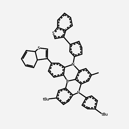 Cc1cc2c3c(c1)N(c1cccc(-c4csc5ccccc45)c1)c1cc(C4=CSC5C=CC=CC45)ccc1B3c1cc(C(C)(C)C)ccc1N2c1ccc(C(C)(C)C)cc1